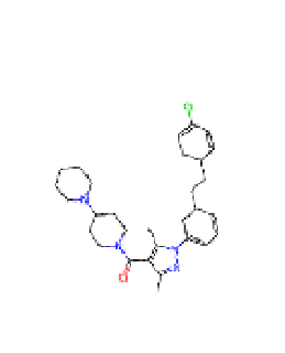 Cc1nn(C2=CC=CC(CCC3C=CC(Cl)=CC3)C2)c(C)c1C(=O)N1CCC(N2CCCCC2)CC1